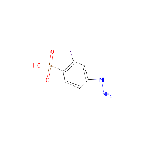 NNc1ccc(S(=O)(=O)O)c(I)c1